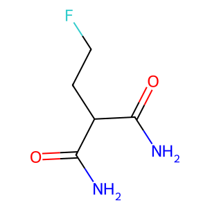 NC(=O)C(CCF)C(N)=O